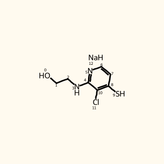 OCCNc1nccc(S)c1Cl.[NaH]